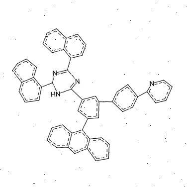 c1ccc(-c2ccc(-c3cc(C4=NC(c5cccc6ccccc56)=NC(c5cccc6ccccc56)N4)cc(-c4c5ccccc5cc5ccccc45)c3)cc2)nc1